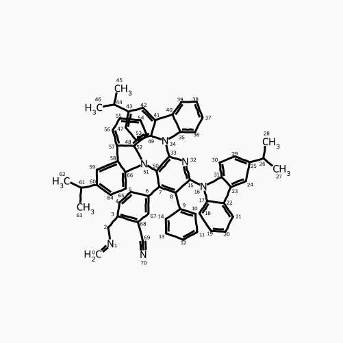 C=NCc1ccc(-c2c(-c3ccccc3)c(-n3c4ccccc4c4cc(C(C)C)ccc43)nc(-n3c4ccccc4c4cc(C(C)C)ccc43)c2-n2c3ccccc3c3cc(C(C)C)ccc32)cc1C#N